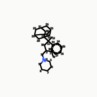 CCC(CN1CCCCC1)CC(C)(c1ccccc1)C12CC3CC(CC(C3)C1)C2